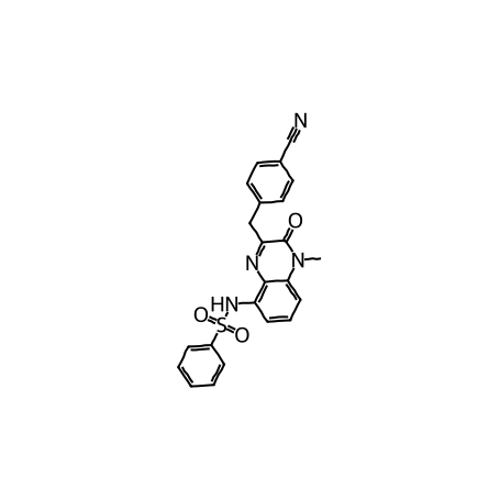 Cn1c(=O)c(Cc2ccc(C#N)cc2)nc2c(NS(=O)(=O)c3ccccc3)cccc21